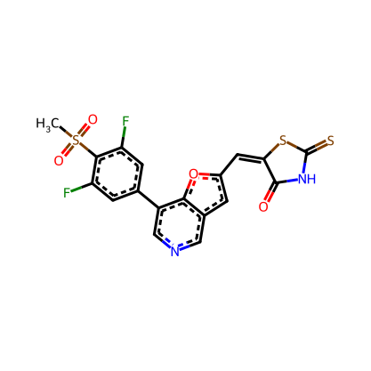 CS(=O)(=O)c1c(F)cc(-c2cncc3cc(C=C4SC(=S)NC4=O)oc23)cc1F